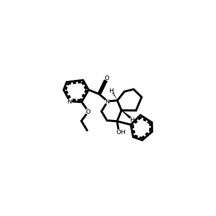 CCOc1ncccc1C(=O)N1CCC(O)(c2ccccc2)[C@H]2CCCC[C@@H]21